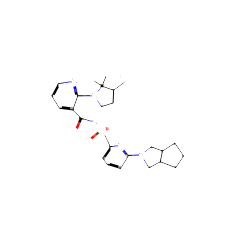 CC1CCN(c2ncccc2C(=O)NS(=O)(=O)c2cccc(N3CC4CCCC4C3)n2)C1(C)C